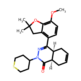 COc1ccc(C2=NN(C3CCSCC3)C(=O)[C@@H]3CC=CC[C@H]23)c2c1OC(C)(C)C2